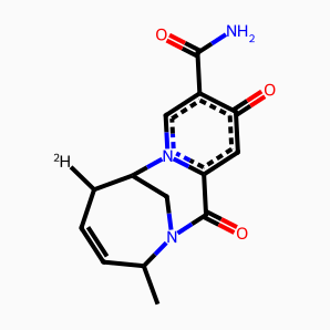 [2H]C1C=CC(C)N2CC1n1cc(C(N)=O)c(=O)cc1C2=O